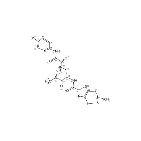 CN1CCc2nc(C(=O)N[C@@H](CNC(=O)C(=O)Nc3ccc(Br)cc3)C(=O)N(C)C)sc2C1